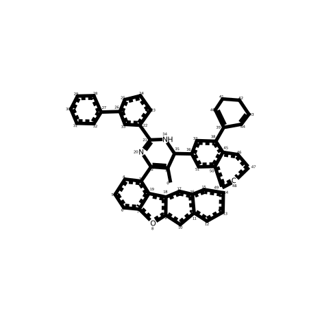 CC1=C(c2cccc3oc4cc5ccccc5cc4c23)N=C(c2cccc(-c3ccccc3)c2)NC1c1cc(C2=CCCC=C2)c2ccccc2c1